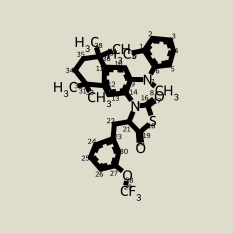 Cc1ccccc1N(C)c1cc2c(cc1N1C(=O)SC(=O)C1Cc1cccc(OC(F)(F)F)c1)C(C)(C)CCC2(C)C